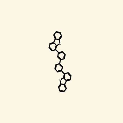 c1cc(-c2cccc(-c3cccc4c3sc3ccccc34)c2)cc(-c2cccc3c2sc2ccccc23)c1